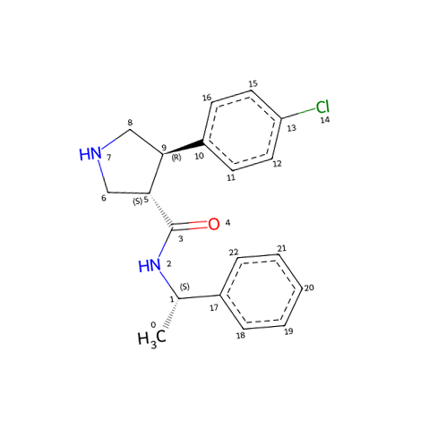 C[C@H](NC(=O)[C@@H]1CNC[C@H]1c1ccc(Cl)cc1)c1ccccc1